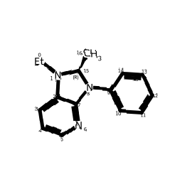 CCN1c2cccnc2N(c2ccccc2)[C@@H]1C